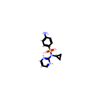 Nc1ccc(S(=O)(=O)N(c2ncccn2)C2CC2)cc1